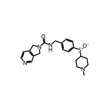 CN1CCC([S+]([O-])c2ccc(CNC(=O)N3Cc4ccncc4C3)cc2)CC1